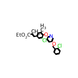 CCOC(=O)C(C)=Cc1cc(C)c(Oc2ccc(OCc3ccccc3Cl)cn2)c(Cl)c1